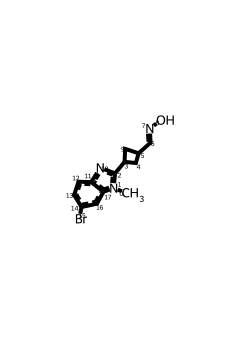 Cn1c(C2CC(/C=N/O)C2)nc2ccc(Br)cc21